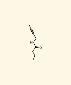 CC#CCNC(=O)CCC